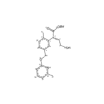 COC(=O)/C(=C/CO)c1cc(COc2cccc(C)n2)ccc1C